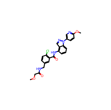 COCC(=O)NCc1ccc(Cl)c(C(=O)Nc2cccc3c2cnn3-c2ccc(OC)nc2)c1